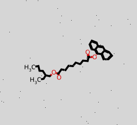 CCCCC(CC)COC(=O)CCCCCCCCC(=O)Oc1c2ccccc2cc2ccccc12